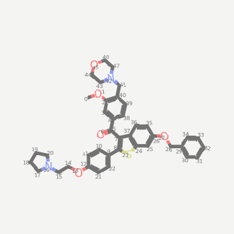 COc1cc(C(=O)c2c(-c3ccc(OCCN4CCCC4)cc3)sc3cc(OCc4ccccc4)ccc23)ccc1CN1CCOCC1